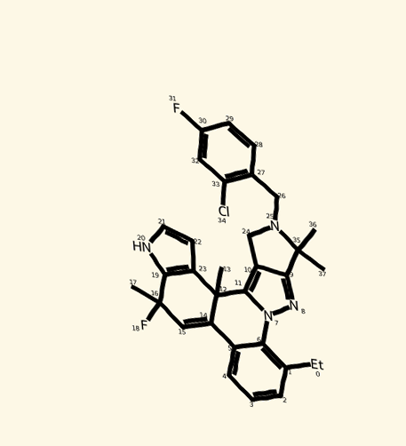 CCc1cccc2c1-n1nc3c(c1C1(C)C2=CC(C)(F)c2[nH]ccc21)CN(Cc1ccc(F)cc1Cl)C3(C)C